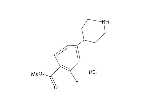 COC(=O)c1ccc(C2CCNCC2)cc1F.Cl